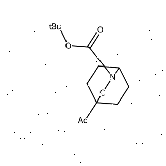 CC(=O)C12CCC(CC1)N(C(=O)OC(C)(C)C)C2